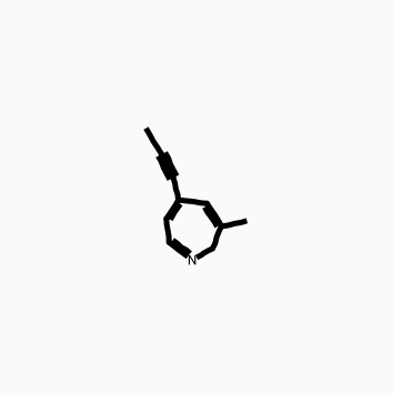 CC#CC1=CC=NCC(C)=C1